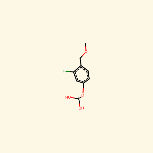 COCc1ccc(OB(O)O)cc1F